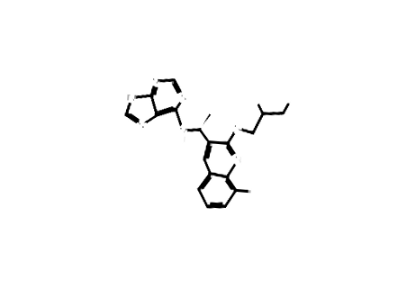 C[C@H](Nc1ncnc2[nH]cnc12)c1cc2cccc(Cl)c2nc1NCC(O)CO